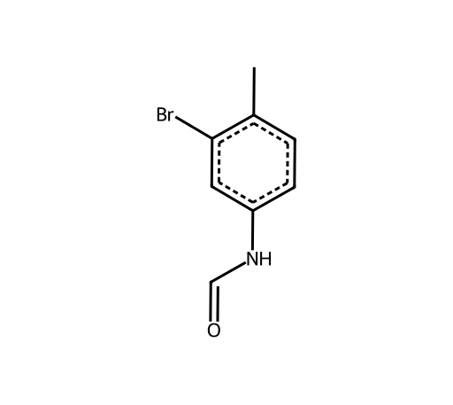 Cc1ccc(NC=O)cc1Br